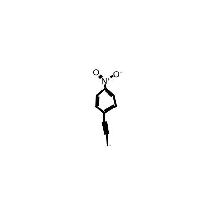 [CH2]C#Cc1ccc([N+](=O)[O-])cc1